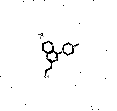 CN1CCN(c2nc(CCO)nc3c2SCCC3)CC1.Cl.Cl